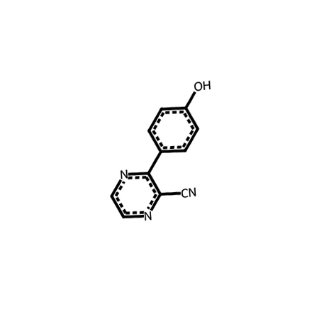 N#Cc1nccnc1-c1ccc(O)cc1